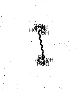 O=P(O)(O)[C](CCCCCCCCCCC(P(=O)(O)O)P(=O)(O)O)P(=O)(O)O